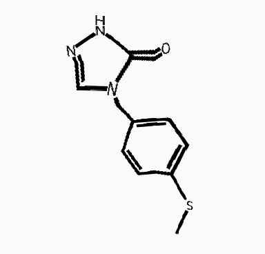 CSc1ccc(-n2cn[nH]c2=O)cc1